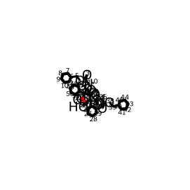 CN(C(=O)OCc1ccccc1)S(=O)(=O)C(C(=O)O)(C(=O)C(C(=O)O)(c1ccccc1)S(=O)(=O)N(C)C(=O)OCc1ccccc1)c1ccccc1